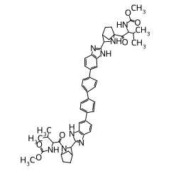 COC(=O)NC(C(=O)N1C2CCC(C2)C1c1nc2ccc(-c3ccc(-c4ccc(-c5ccc6nc(C7NC8(C(=O)C(NC(=O)OC)C(C)C)CCC7C8)[nH]c6c5)cc4)cc3)cc2[nH]1)C(C)C